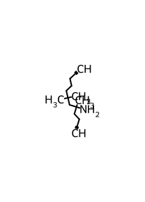 C#CCCCC(C)(C)CC(C)(N)CCC#C